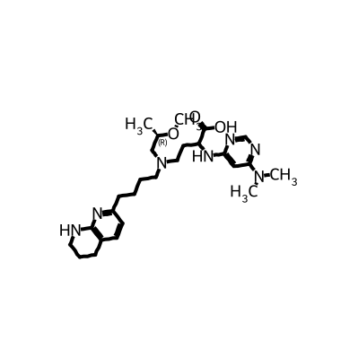 CO[C@H](C)CN(CCCCc1ccc2c(n1)NCCC2)CCC(Nc1cc(N(C)C)ncn1)C(=O)O